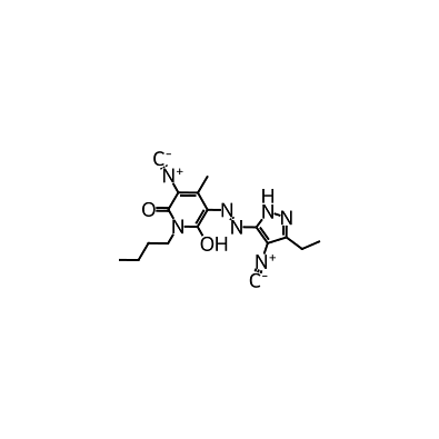 [C-]#[N+]c1c(CC)n[nH]c1/N=N/c1c(C)c([N+]#[C-])c(=O)n(CCCC)c1O